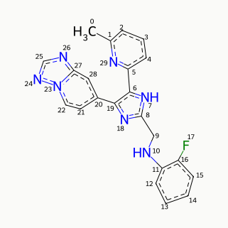 Cc1cccc(-c2[nH]c(CNc3ccccc3F)nc2-c2ccn3ncnc3c2)n1